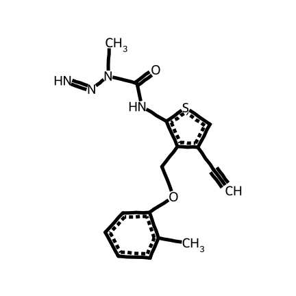 C#Cc1csc(NC(=O)N(C)N=N)c1COc1ccccc1C